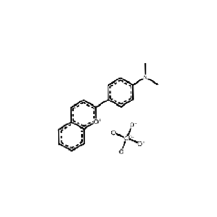 CN(C)c1ccc(-c2ccc3ccccc3[o+]2)cc1.[O-][Cl+3]([O-])([O-])[O-]